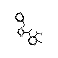 Cc1cccc(C(C)c2nccn2Cc2ccccc2)c1C(F)F